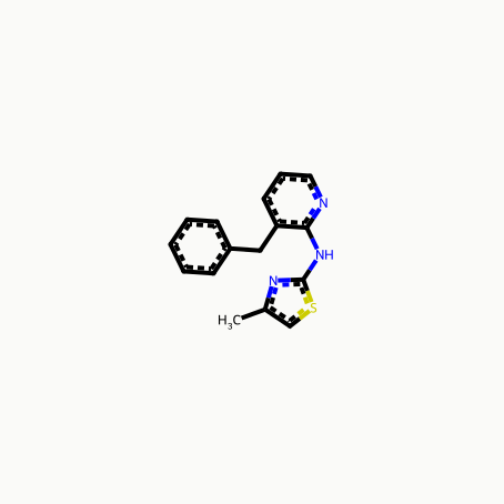 Cc1csc(Nc2ncccc2Cc2ccccc2)n1